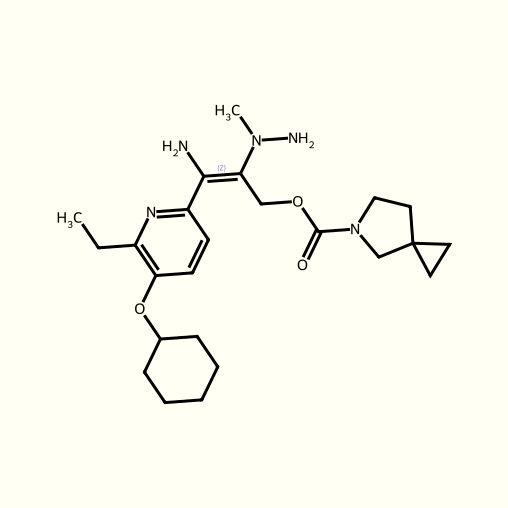 CCc1nc(/C(N)=C(\COC(=O)N2CCC3(CC3)C2)N(C)N)ccc1OC1CCCCC1